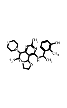 Cc1nc(NC(C)c2cccc(C#N)c2C)c(C2OCCO2)c(C(C(N)=O)N2CCOCC2)n1